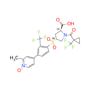 Cc1cc(-c2ccc(S(=O)(=O)[C@@H]3C[C@@H](C(=O)O)N(C(=O)C4(C(F)(F)F)CC4)C3)c(C(F)(F)F)c2)cc[n+]1[O-]